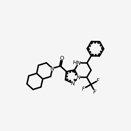 O=C(c1cnn2c1NC(c1ccccc1)CC2C(F)(F)F)N1CCC2CCCCC2C1